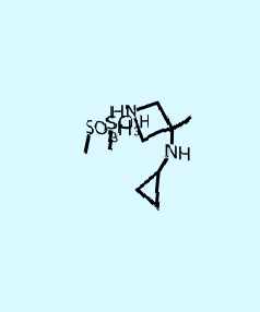 CC1(NC2CC2)CNC1.CS(=O)(=O)O.CS(=O)(=O)O